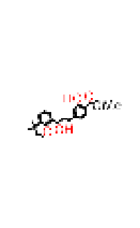 COC(=O)c1ccc(CCC(O)c2cccc3c2OCCC3(C)C)cc1O